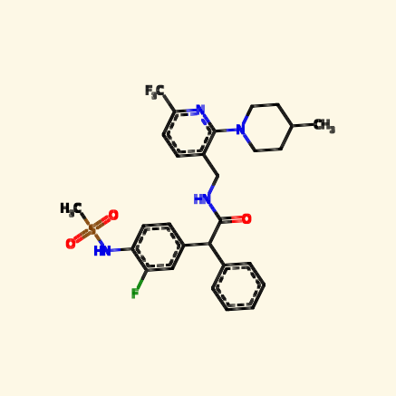 CC1CCN(c2nc(C(F)(F)F)ccc2CNC(=O)C(c2ccccc2)c2ccc(NS(C)(=O)=O)c(F)c2)CC1